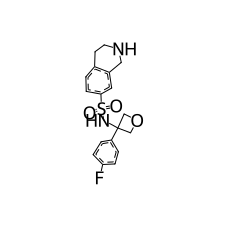 O=S(=O)(NC1(c2ccc(F)cc2)COC1)c1ccc2c(c1)CNCC2